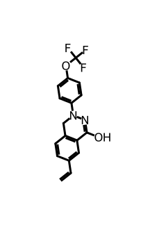 C=Cc1ccc2c(c1)C(O)=NN(c1ccc(OC(F)(F)F)cc1)C2